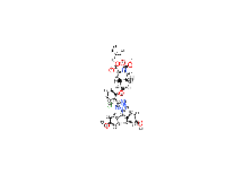 CCC(CC)COC(=O)[C@@H]1C[C@H]2C[C@@H](Oc3cccc(Cl)c3-c3nnn(C(c4ccc(OC)cc4)c4ccc(OC)cc4)n3)CC[C@H]2CN1C(=O)OC